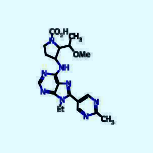 CCn1c(-c2cnc(C)nc2)nc2c(NC3CCN(C(=O)O)C3C(C)OC)ncnc21